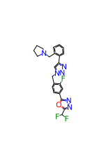 Fc1cc(-c2nnc(C(F)F)o2)ccc1Cn1cc(-c2ccccc2CN2CCCC2)nn1